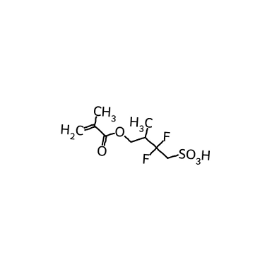 C=C(C)C(=O)OCC(C)C(F)(F)CS(=O)(=O)O